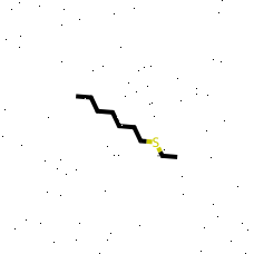 C[CH]SCCCCCCC